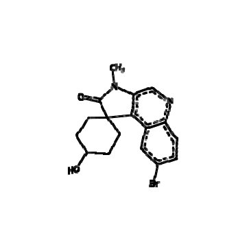 CN1C(=O)C2(CCC(O)CC2)c2c1cnc1ccc(Br)cc21